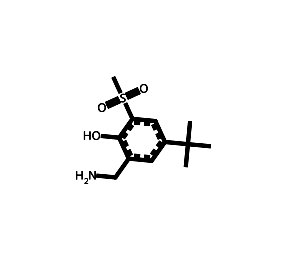 CC(C)(C)c1cc(CN)c(O)c(S(C)(=O)=O)c1